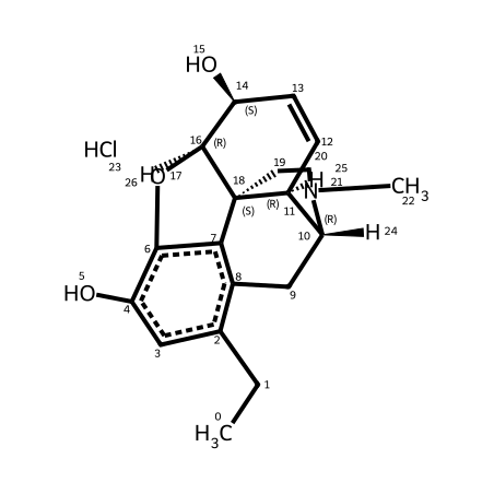 CCc1cc(O)c2c3c1C[C@@H]1[C@@H]4C=C[C@H](O)[C@H](O2)[C@]34CCN1C.Cl